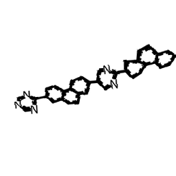 c1ccc2c(c1)ccc1cc(-c3ncc(-c4ccc5c(ccc6cc(-c7ncncn7)ccc65)c4)cn3)ccc12